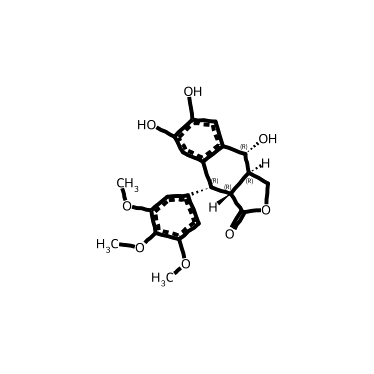 COc1cc([C@@H]2c3cc(O)c(O)cc3[C@H](O)[C@H]3COC(=O)[C@H]23)cc(OC)c1OC